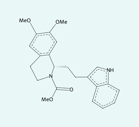 COC(=O)N1CCc2cc(OC)c(OC)cc2[C@@H]1CCc1c[nH]c2ccccc12